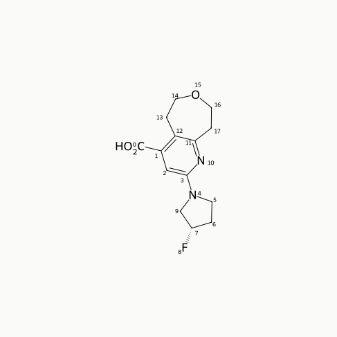 O=C(O)c1cc(N2CC[C@H](F)C2)nc2c1CCOCC2